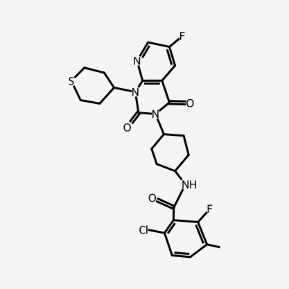 Cc1ccc(Cl)c(C(=O)NC2CCC(n3c(=O)c4cc(F)cnc4n(C4CCSCC4)c3=O)CC2)c1F